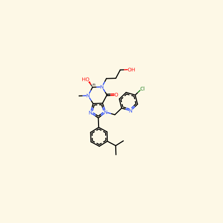 CC(C)c1cccc(-c2nc3c(n2Cc2ccc(Cl)cn2)C(=O)N(CCCO)[C@H](O)N3C)c1